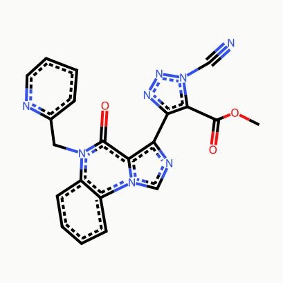 COC(=O)c1c(-c2ncn3c2c(=O)n(Cc2ccccn2)c2ccccc23)nnn1C#N